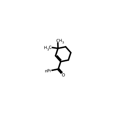 CCCC(=O)C1=CC(C)(C)CCC1